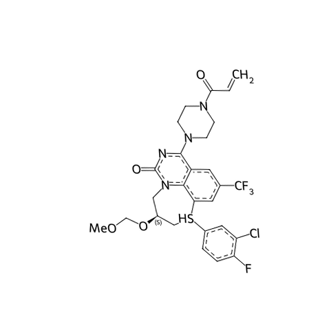 C=CC(=O)N1CCN(c2nc(=O)n3c4c(cc(C(F)(F)F)cc24)[SH](c2ccc(F)c(Cl)c2)C[C@@H](OCOC)C3)CC1